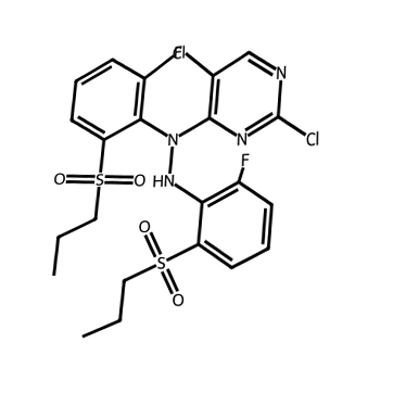 CCCS(=O)(=O)c1cccc(F)c1NN(c1nc(Cl)ncc1Cl)c1c(F)cccc1S(=O)(=O)CCC